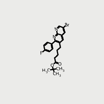 CC(C)(C)OC(=O)CCCCc1cc2cc(Br)cnc2nc1-c1ccc(F)cc1